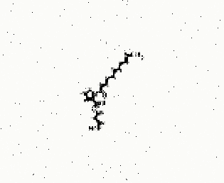 C=CCCCCCCCCC(=O)N1CCCC1C(=O)OCCCO